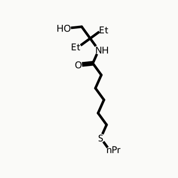 CCCSCCCCCC(=O)NC(CC)(CC)CO